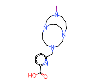 O=C(O)c1cccc(CN2CCCN3CCCN(CCCN(I)CC3)CC2)n1